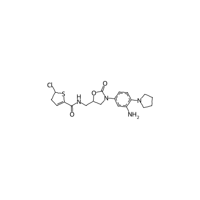 Nc1cc(N2CC(CNC(=O)C3=CCC(Cl)S3)OC2=O)ccc1N1CCCC1